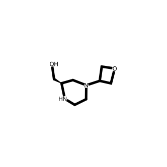 OC[C@H]1CN(C2COC2)CCN1